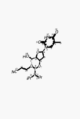 Cc1cn([C@H]2C[C@@H](OP(OCCC#N)N(C(C)C)C(C)C)[C@@H](CO)O2)c(=O)[nH]c1=O